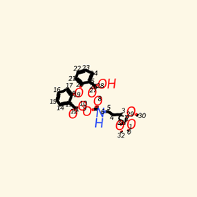 CO[Si](CCCNC(=O)OOC(=O)c1ccccc1Oc1ccccc1C(=O)O)(OC)OC